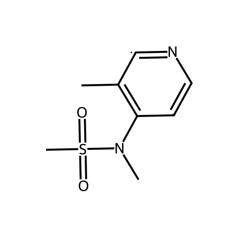 Cc1[c]nccc1N(C)S(C)(=O)=O